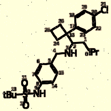 CC(C)CC(NCc1ccc(NS(=O)(=O)C(C)(C)C)cc1)C1(c2ccc(Cl)cc2)CCC1